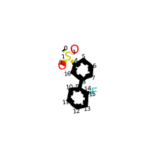 CS(=O)(=O)c1cccc(-c2c[c]ccc2F)c1